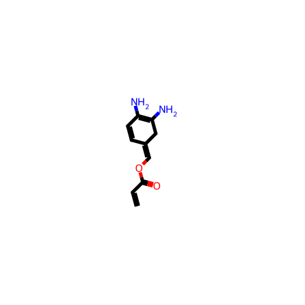 C=CC(=O)OC=C1C=CC(N)=C(N)C1